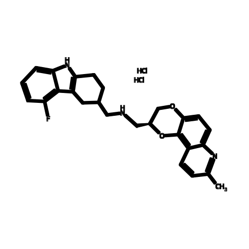 Cc1ccc2c3c(ccc2n1)OC[C@H](CNCC1CCc2[nH]c4cccc(F)c4c2C1)O3.Cl.Cl